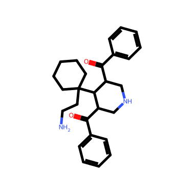 NCCC1(C2C(C(=O)c3ccccc3)CNCC2C(=O)c2ccccc2)CCCCC1